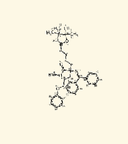 CC(C)(C)OC(=O)C(CCCCB1OC(C)(C)C(C)(C)O1)(CCCOc1ccccc1)N=C(c1ccccc1)c1ccccc1